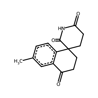 Cc1ccc2c(c1)C(=O)CCC21CCC(=O)NC1=O